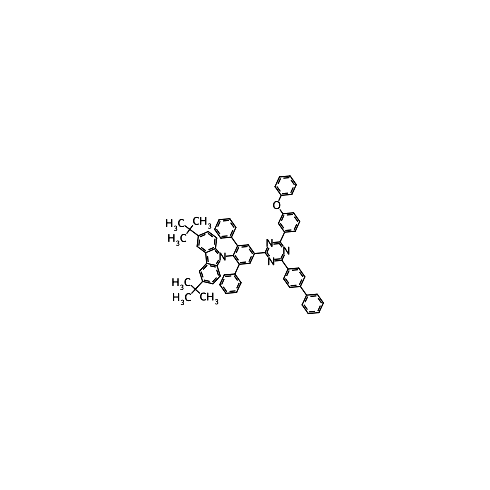 CC(C)(C)c1ccc2c(c1)c1cc(C(C)(C)C)ccc1n2-c1c(-c2ccccc2)cc(-c2nc(-c3ccc(-c4ccccc4)cc3)nc(-c3cccc(Oc4ccccc4)c3)n2)cc1-c1ccccc1